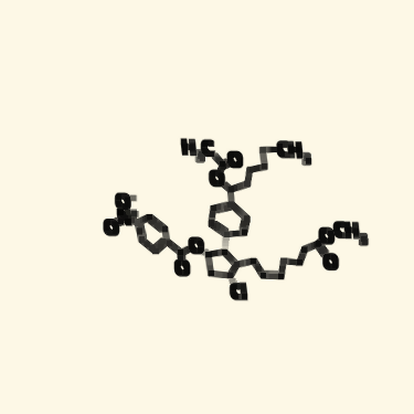 CCCCCC(OC(C)=O)c1ccc([C@@H]2C(C/C=C\CCCC(=O)OC)[C@H](Cl)C[C@@H]2OC(=O)c2ccc([N+](=O)[O-])cc2)cc1